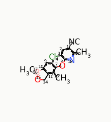 [C-]#[N+]c1cc(Cl)c(Oc2ccc3c(c2C)COB3C)nc1C